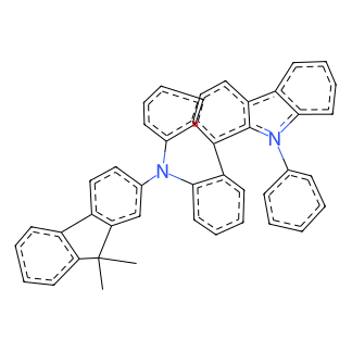 CC1(C)c2ccccc2-c2ccc(N(c3ccccc3)c3ccccc3-c3cccc4c5ccccc5n(-c5ccccc5)c34)cc21